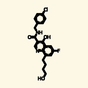 O=C(NCc1ccc(Cl)cc1)c1cnc2c(CCCCO)cc(F)cc2c1O